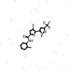 Cc1ccccc1NC(=O)c1cc(F)c(-c2cc(C(F)(F)F)nn2C)s1